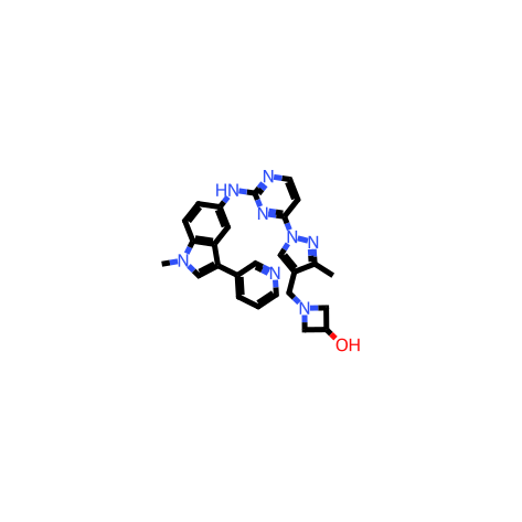 Cc1nn(-c2ccnc(Nc3ccc4c(c3)c(-c3cccnc3)cn4C)n2)cc1CN1CC(O)C1